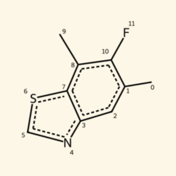 Cc1cc2ncsc2c(C)c1F